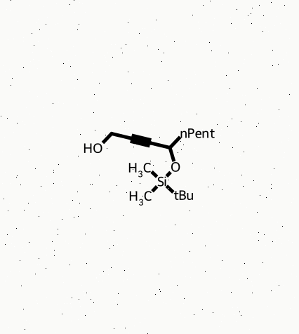 CCCCCC(C#CCO)O[Si](C)(C)C(C)(C)C